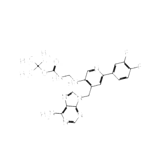 CC(C)(C)OC(=O)NCNc1cnc(-c2ccc(F)c(F)c2)cc1Cn1cnc2c(N)ncnc21